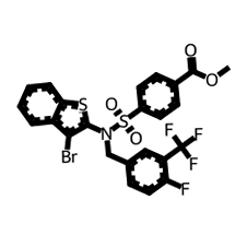 COC(=O)c1ccc(S(=O)(=O)N(Cc2ccc(F)c(C(F)(F)F)c2)c2sc3ccccc3c2Br)cc1